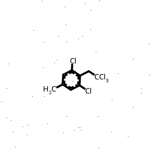 Cc1cc(Cl)c(CC(Cl)(Cl)Cl)c(Cl)c1